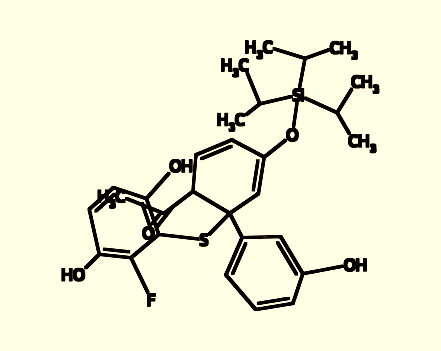 CC(=O)C1C=CC(O[Si](C(C)C)(C(C)C)C(C)C)=CC1(Sc1c(O)ccc(O)c1F)c1cccc(O)c1